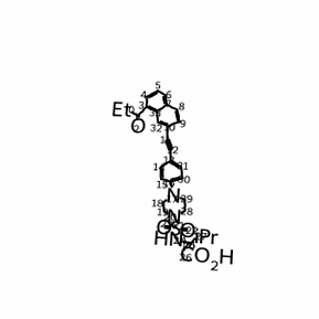 CCC(=O)c1cccc2ccc(C#Cc3ccc(N4CCN(S(=O)(=O)N[C@@H](C(=O)O)C(C)C)CC4)cc3)cc12